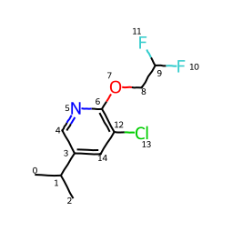 CC(C)c1cnc(OCC(F)F)c(Cl)c1